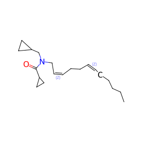 CCCCC/C=C\CC/C=C\CN(CC1CC1)C(=O)C1CC1